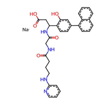 O=C(O)CC(NC(=O)CNC(=O)CCCNc1ccccn1)c1ccc(-c2cccc3ccccc23)cc1O.[Na]